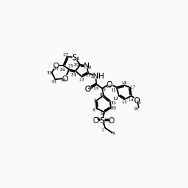 CCS(=O)(=O)c1ccc(C(Oc2ccc(OC)cc2)C(=O)Nc2cc3c4c(csc-3n2)OCCO4)cc1